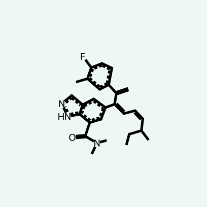 C=C(/C(=C\C=C/C(C)CC)c1cc(C(=O)N(C)C)c2[nH]ncc2c1)c1ccc(F)c(C)c1